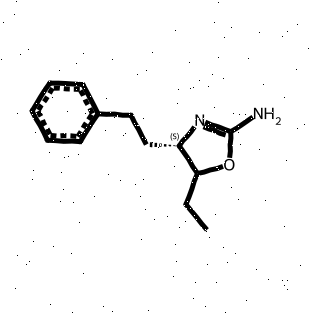 CCC1OC(N)=N[C@H]1CCc1ccccc1